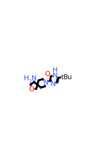 CC(C)(C)c1cnc(N2CCC3(CC2)COCC3N)c(=O)[nH]1